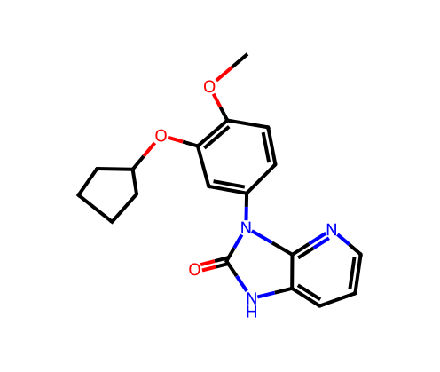 COc1ccc(-n2c(=O)[nH]c3cccnc32)cc1OC1CCCC1